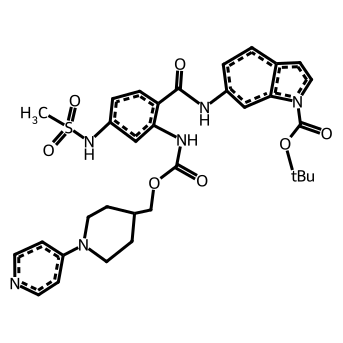 CC(C)(C)OC(=O)n1ccc2ccc(NC(=O)c3ccc(NS(C)(=O)=O)cc3NC(=O)OCC3CCN(c4ccncc4)CC3)cc21